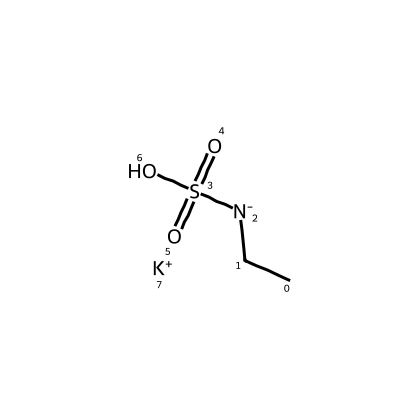 CC[N-]S(=O)(=O)O.[K+]